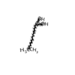 CC(C)CCCCCCCCCCCCCCCN(CCCO)CCCO